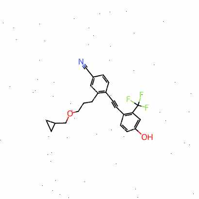 N#Cc1ccc(C#Cc2ccc(O)cc2C(F)(F)F)c(CCCOCC2CC2)c1